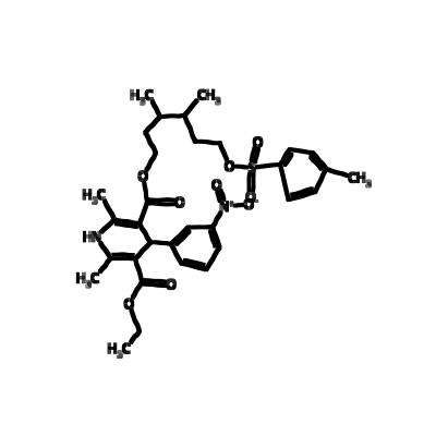 CCOC(=O)C1=C(C)NC(C)=C(C(=O)OCCC(C)C(C)CCOS(=O)(=O)c2ccc(C)cc2)C1c1cccc([N+](=O)[O-])c1